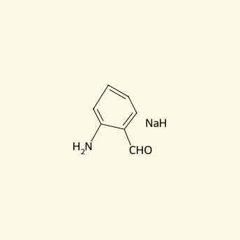 Nc1ccccc1C=O.[NaH]